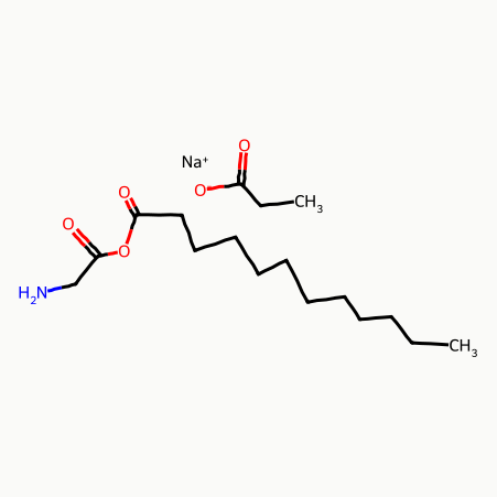 CCC(=O)[O-].CCCCCCCCCCCC(=O)OC(=O)CN.[Na+]